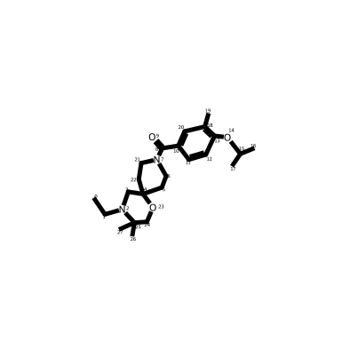 CCN1CC2(CCN(C(=O)c3ccc(OC(C)C)c(C)c3)CC2)OCC1(C)C